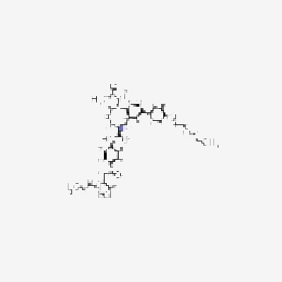 CCCOCCOc1ccc(-c2ccc3c(c2)/C=C(/C(=O)Nc2ccc([S@@+]([O-])Cc4cncn4CCC)cc2)CCCN3CC(C)C)cc1